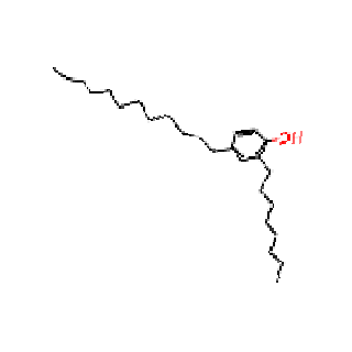 CCCCCCCCCCCCc1ccc(O)c(CCCCCCCC)c1